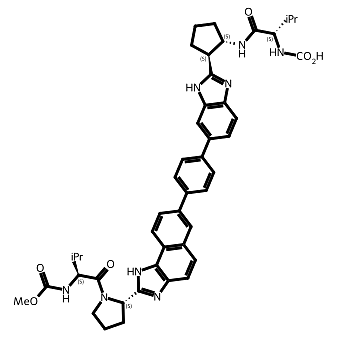 COC(=O)N[C@H](C(=O)N1CCC[C@H]1c1nc2ccc3cc(-c4ccc(-c5ccc6nc([C@H]7CCC[C@@H]7NC(=O)[C@@H](NC(=O)O)C(C)C)[nH]c6c5)cc4)ccc3c2[nH]1)C(C)C